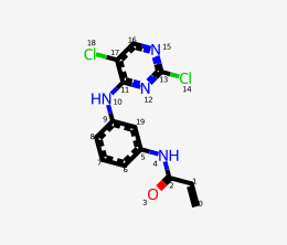 C=CC(=O)Nc1cccc(Nc2nc(Cl)ncc2Cl)c1